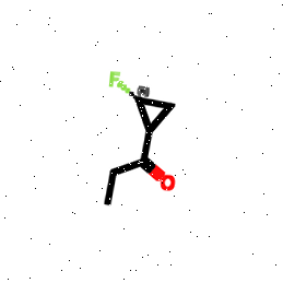 CCC(=O)C1C[C@H]1F